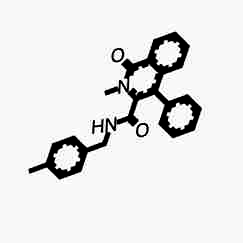 Cc1ccc(CNC(=O)c2c(-c3ccccc3)c3ccccc3c(=O)n2C)cc1